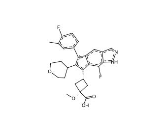 CO[C@]1(C(=O)O)C[C@H](c2c(C3CCOCC3)n(-c3ccc(F)c(C)c3)c3cc4cn[nH]c4c(F)c32)C1